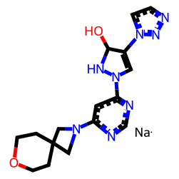 OC1NN(c2cc(N3CC4(CCOCC4)C3)ncn2)C=C1n1ccnn1.[Na]